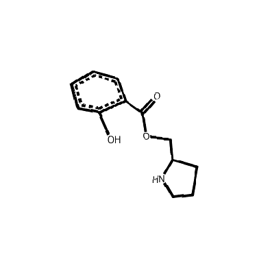 O=C(OCC1CCCN1)c1ccccc1O